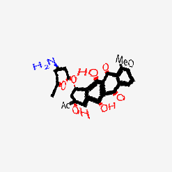 COc1cccc2c1C(=O)c1c(O)c3c(c(O)c1C2=O)CC(O)(C(C)=O)C[C@@H]3OC1CC(N)CC(C)O1